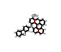 CC(C)(C)c1ccc(N(c2ccc3c(c2)oc2ccccc23)c2ccccc2-c2cccc3cccc(-c4ccccc4)c23)cc1